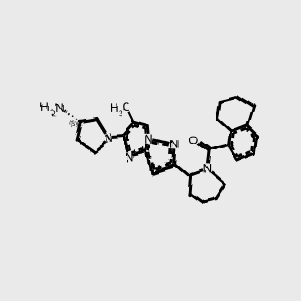 Cc1cn2nc(C3CCCCN3C(=O)c3cccc4c3CCCC4)cc2nc1N1CC[C@H](N)C1